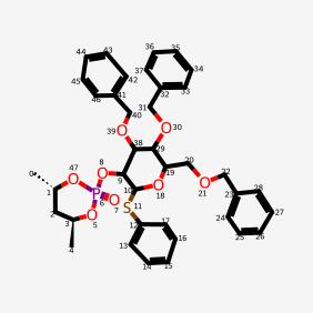 C[C@H]1C[C@H](C)OP(=O)(OC2C(Sc3ccccc3)OC(COCc3ccccc3)C(OCc3ccccc3)C2OCc2ccccc2)O1